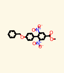 COC(=O)c1cc([N+](=O)[O-])c(-c2ccc(OCc3ccccc3)cc2)c([N+](=O)[O-])c1